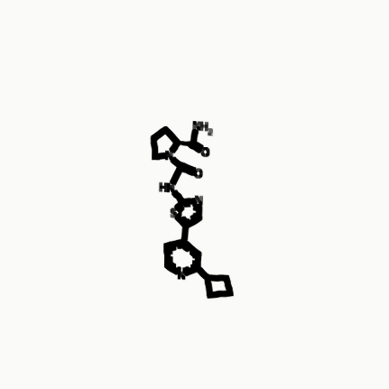 NC(=O)[C@@H]1CCCN1C(=O)Nc1ncc(-c2ccnc(C3CCC3)c2)s1